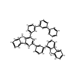 c1ccc(-c2cccc(-c3cccc(-c4nc(-c5cccc(-c6cccc7c6oc6ccccc67)c5)nc5c4sc4ccccc45)c3)c2)cc1